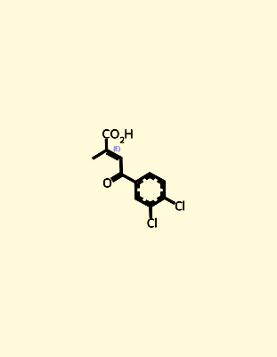 C/C(=C\C(=O)c1ccc(Cl)c(Cl)c1)C(=O)O